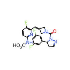 O=C(O)Nc1ccc(F)c(C=C2CN(C(=O)N3N=CCC3c3cc(F)cc(F)c3)C2)n1